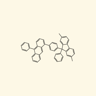 Cc1ccc2c(c1)C(c1ccccc1)(c1ccc(-c3cccc4c(-c5ccccc5)c5ccccc5cc34)cc1)c1cc(C)ccc1-2